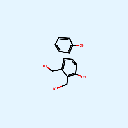 OCc1cccc(O)c1CO.Oc1ccccc1